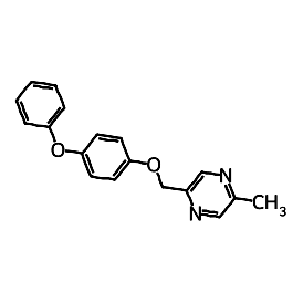 Cc1cnc(COc2ccc(Oc3ccccc3)cc2)cn1